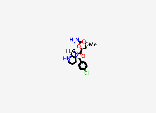 COC[C@H](OC(N)=O)C(=O)N(C)[C@@]1(Cc2ccc(Cl)cc2)CCCNC1